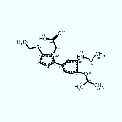 CCSc1nnc(-c2ccc(OC(C)C)c(NOC)c2)n1CC(=O)O